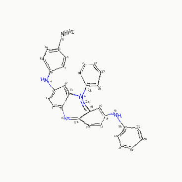 CC(=O)Nc1ccc(Nc2ccc3nc4ccc(Nc5ccccc5)cc4[n+](-c4ccccc4)c3c2)cc1